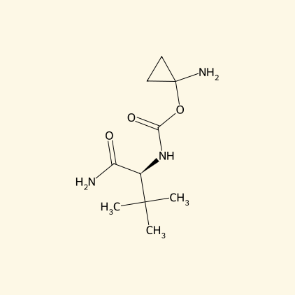 CC(C)(C)[C@H](NC(=O)OC1(N)CC1)C(N)=O